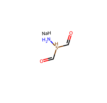 N[SH](C=O)C=O.[NaH]